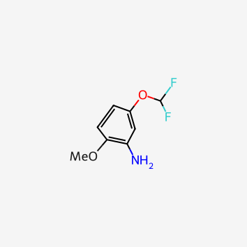 COc1ccc(OC(F)F)cc1N